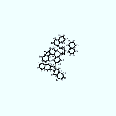 c1ccc2cc3c(cc2c1)c1cc2ccccc2cc1n3-c1ccc(-c2nc(-c3cccc4ccccc34)nc(-c3cccc4ccccc34)n2)c(-c2cccc3oc4ccccc4c23)c1